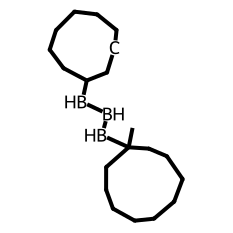 CC1(BBBC2CCCCCCCC2)CCCCCCCCC1